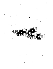 COc1ccc(CC(C(=O)OC(=O)COC2CCNCC2)N(C)C(=O)c2ccc(C(=N)N)cc2)cc1